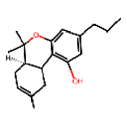 CCCc1cc(O)c2c(c1)OC(C)(C)[C@@H]1CC=C(C)CC21